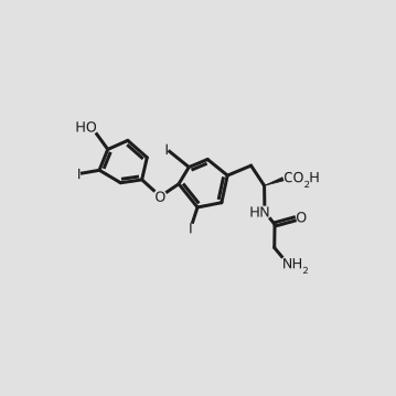 NCC(=O)N[C@@H](Cc1cc(I)c(Oc2ccc(O)c(I)c2)c(I)c1)C(=O)O